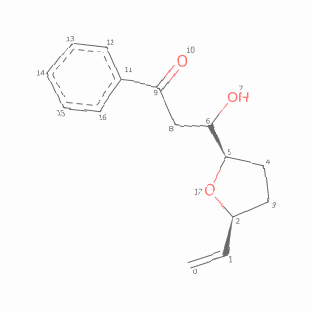 C=C[C@@H]1CC[C@H](C(O)CC(=O)c2ccccc2)O1